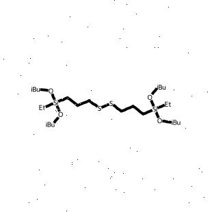 CCC(C)O[Si](CC)(CCCSSCCC[Si](CC)(OC(C)CC)OC(C)CC)OC(C)CC